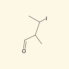 CC(I)C(C)C=O